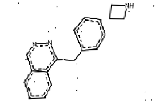 C1CNC1.c1ccc(Cc2nncc3ccccc23)cc1